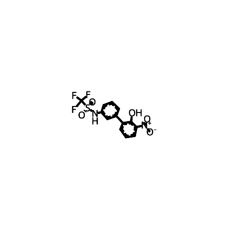 O=[N+]([O-])c1cccc(-c2cccc(NS(=O)(=O)C(F)(F)F)c2)c1O